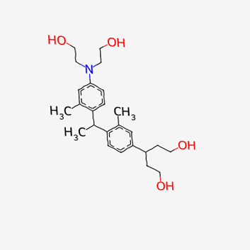 Cc1cc(C(CCO)CCO)ccc1C(C)c1ccc(N(CCO)CCO)cc1C